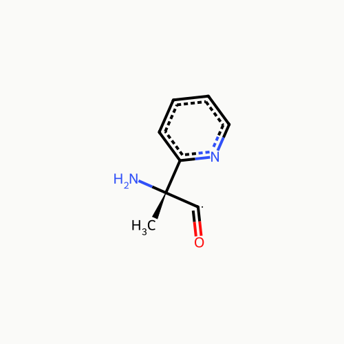 C[C@](N)([C]=O)c1ccccn1